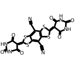 N#Cc1c2c(c(C#N)c3c1SC(=C1C(=O)NC(=O)NC1=O)S3)SC(=C1C(=O)NC(=O)NC1=O)S2